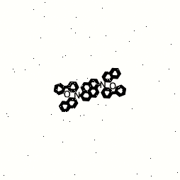 C1=CC(N(c2ccc3ccccc3c2)c2cccc3c2oc2ccccc23)C2=CCc3ccc(N(c4ccc5ccccc5c4)c4cccc5c4oc4ccccc45)c4ccc1c2c34